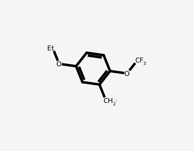 [CH2]c1cc(OCC)ccc1OC(F)(F)F